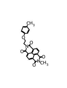 Cc1ccc(OCCN2C(=O)c3ccc4c5c(ccc(c35)C2=O)C(=O)N(C)C4=O)cc1